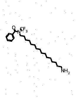 NCCCCCCCCCCCCCCCC[N+](C(=O)c1ccccc1)C(F)(F)F